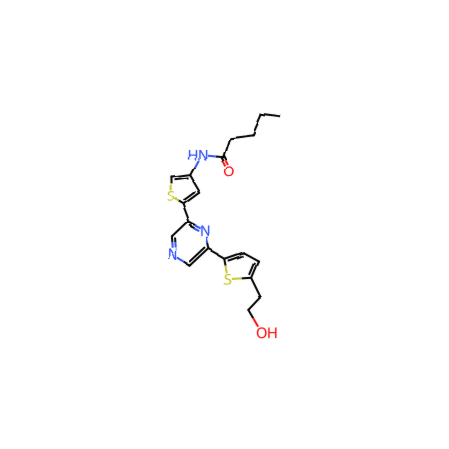 CCCCC(=O)Nc1csc(-c2cncc(-c3ccc(CCO)s3)n2)c1